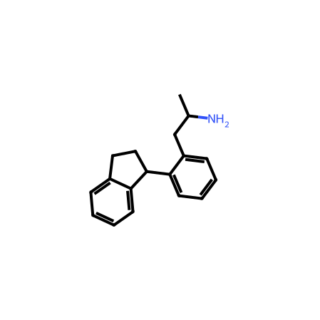 CC(N)Cc1ccccc1C1CCc2ccccc21